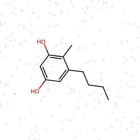 CCCCc1cc(O)cc(O)c1C